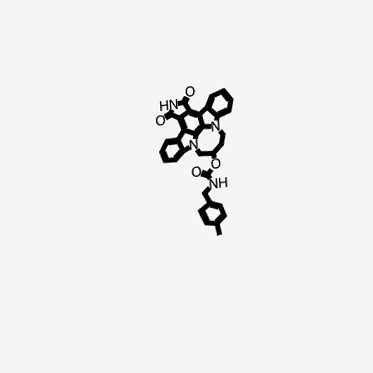 Cc1ccc(CNC(=O)OC2CCn3c4ccccc4c4c5c(c6c7ccccc7n(c6c43)C2)C(=O)NC5=O)cc1